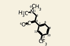 CN(C)CC(=C=O)c1cccc(C(F)(F)F)c1